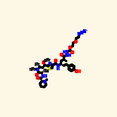 CCCO[C@H](C[C@H](C(C)C)N(CCC)C(=O)[C@@H](NC(=O)[C@H]1CCCCN1C)[C@@H](C)CC)c1nc(C(=O)N[C@@H](CCc2ccc(O)cc2)C[C@H](C)C(=O)NNC(=O)OCCOCCN=[N+]=[N-])cs1